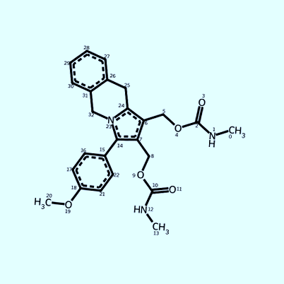 CNC(=O)OCc1c(COC(=O)NC)c(-c2ccc(OC)cc2)n2c1Cc1ccccc1C2